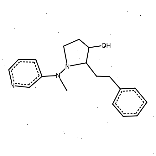 CN(c1cccnc1)N1CCC(O)C1CCc1ccccc1